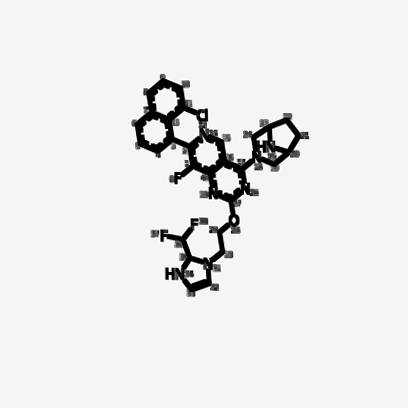 Fc1c(-c2cccc3cccc(Cl)c23)ncc2c(N3CC4CCC(C3)N4)nc(OCCN3C=CNC3C(F)F)nc12